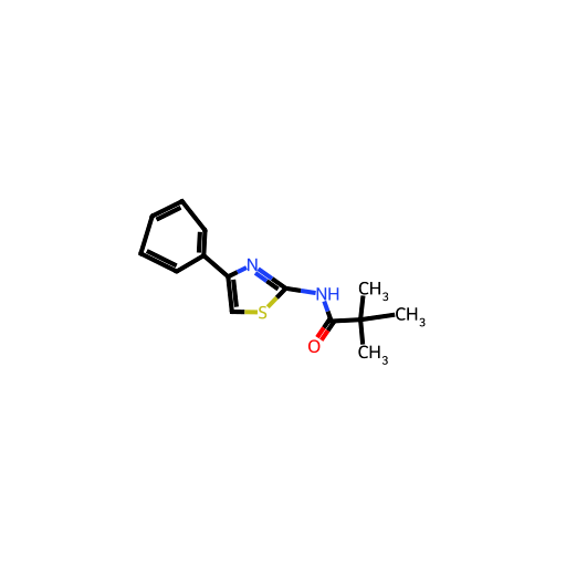 CC(C)(C)C(=O)Nc1nc(-c2ccccc2)cs1